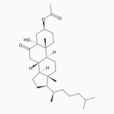 CC(=O)O[C@H]1CC[C@]2(C)[C@H]3CC[C@]4(C)[C@@H]([C@H](C)CCCC(C)C)CC[C@H]4[C@@H]3CC(=O)[C@@]2(O)C1